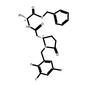 CC(C)[C@@H](NC(=O)C[C@@H]1CCC(=O)N1Cc1cc(F)cc(F)c1F)C(=O)SCc1ccccc1